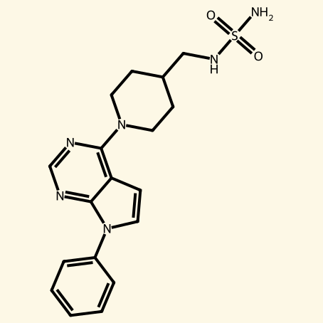 NS(=O)(=O)NCC1CCN(c2ncnc3c2ccn3-c2ccccc2)CC1